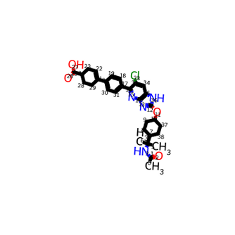 CC(=O)NC(C)(C)C1CCC(Oc2nc3nc(-c4ccc(C5=CCC(C(=O)O)CC5)cc4)c(Cl)cc3[nH]2)CC1